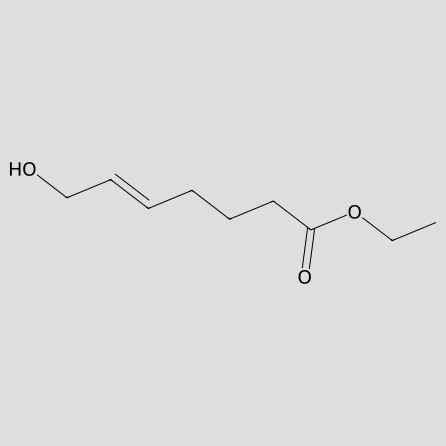 CCOC(=O)CCC/C=C/CO